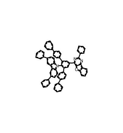 c1ccc(-c2ccc(-c3cc(-c4nc(-c5ccccc5)nc5c4oc4ccccc45)cc(-c4ccc(-c5ccccc5)cc4)c3-n3c4ccc(-c5ccccc5)cc4c4cc(-c5ccccc5)ccc43)cc2)cc1